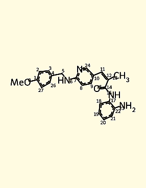 COc1ccc(CNc2ccc(C=C(C)C(=O)Nc3ccccc3N)cn2)cc1